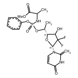 C=C1NC(=O)C=CN1[C@@H]1O[C@H](C(C)OP(=O)(NC(C)C(=O)OC)Oc2ccccc2)C(O)C1(F)F